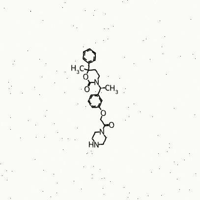 C[C@@H](c1cccc(OCC(=O)N2CCNCC2)c1)N1CCC(C)(c2ccccc2)OC1=O